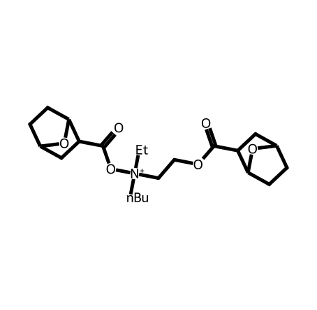 [CH2]C[N+](CCCC)(CCOC(=O)C1CC2CCC1O2)OC(=O)C1CC2CCC1O2